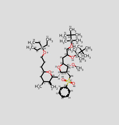 C=C1C(C)CC(CCCO[Si](CC)(CC)CC)OC1C[C@@H]1OC(CC(CO[Si](C)(C)C(C)(C)C)O[Si](C)(C)C(C)(C)C)[C@H](OC)[C@H]1CS(=O)(=O)c1ccccc1